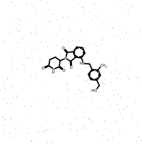 Cc1cc(CO)ccc1CNc1cccc2c1C(=O)N(C1CCC(=O)NC1=O)C2=O